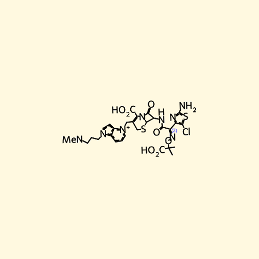 CNCCCn1ccc2c1ccc[n+]2CC1=C(C(=O)O)N2C(=O)C(NC(=O)/C(=N\OC(C)(C)C(=O)O)c3nc(N)sc3Cl)C2SC1